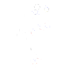 CC(C)n1c(O[C@@H]2C[C@@H](C(N)=O)N(C(=O)[C@H](CCCCC/C=C\[C@@H]3C[C@@H]3C(=O)NS(=O)(=O)C3(C)CC3)NC(=O)OC(C)(C)C)C2)nc2c(-c3nc(C4CCCC4)cs3)cccc21